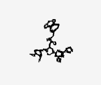 COc1ccc(CN2CCN(c3cc(Cl)nc(-n4ccnc4)n3)CC2CC(=O)NCc2ccc3c(c2)OCO3)cc1F